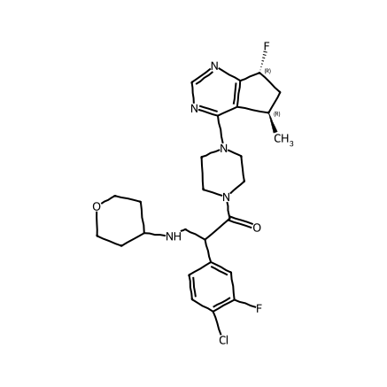 C[C@@H]1C[C@@H](F)c2ncnc(N3CCN(C(=O)C(CNC4CCOCC4)c4ccc(Cl)c(F)c4)CC3)c21